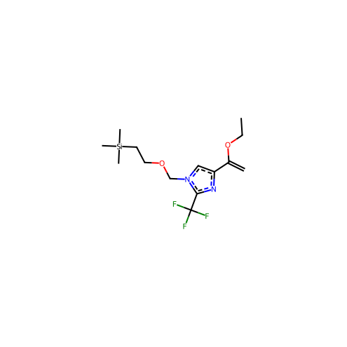 C=C(OCC)c1cn(COCC[Si](C)(C)C)c(C(F)(F)F)n1